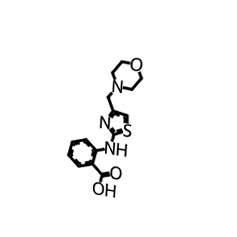 O=C(O)c1ccccc1Nc1nc(CN2CCOCC2)cs1